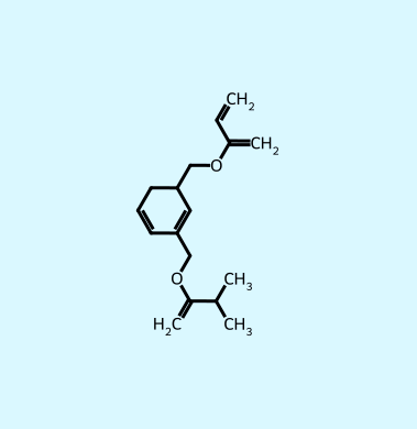 C=CC(=C)OCC1C=C(COC(=C)C(C)C)C=CC1